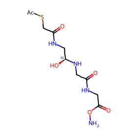 CC(=O)SCC(=O)NC[C@H](O)NCC(=O)NCC(=O)ON